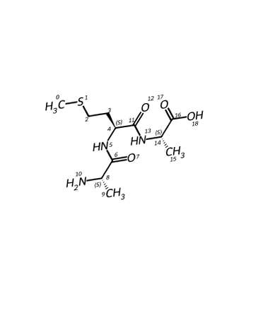 CSCC[C@H](NC(=O)[C@H](C)N)C(=O)N[C@@H](C)C(=O)O